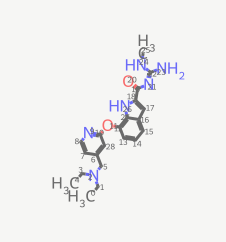 CCN(CC)Cc1ccnc(Oc2cccc3cc(C(=O)N=C(N)NC)[nH]c23)c1